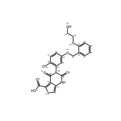 O=C(O)c1scc2[nH]c(=O)n(-c3cc(OCc4ccccc4OCCO)ccc3Cl)c(=O)c12